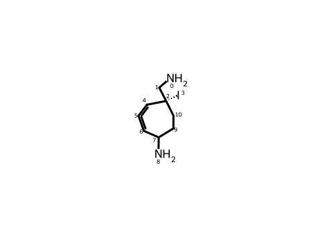 NC[C@]1(I)C=C=CC(N)CC1